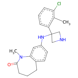 Cc1c(Cl)cccc1C1(Nc2ccc3c(c2)N(C)C(=O)CCC3)CNC1